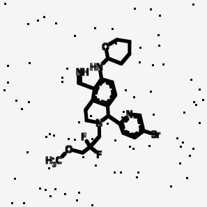 COCC(F)(F)CN1CCc2c(ccc(NC3CCCCO3)c2C=N)C1c1ccc(Br)cn1